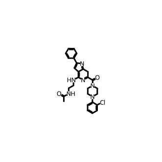 CC(=O)NCCNC1=C2C=C(c3ccccc3)N=C2CC(C(=O)N2CCN(c3ccccc3Cl)CC2)=N1